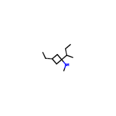 CCC1CC(NC)(C(C)CC)C1